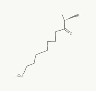 CCCCCCCCCCCCCCCC(=O)[C@@H](C)C(C)C